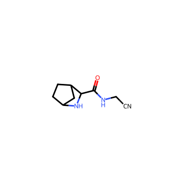 N#CCNC(=O)C1NC2CCC1C2